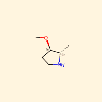 CO[C@@H]1CCN[C@H]1C